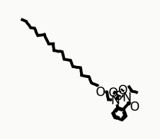 CCCCCCCCCCCCCCCCCCOCCN1c2ccccc2C(=O)N(C(C)C)S1(=O)=O